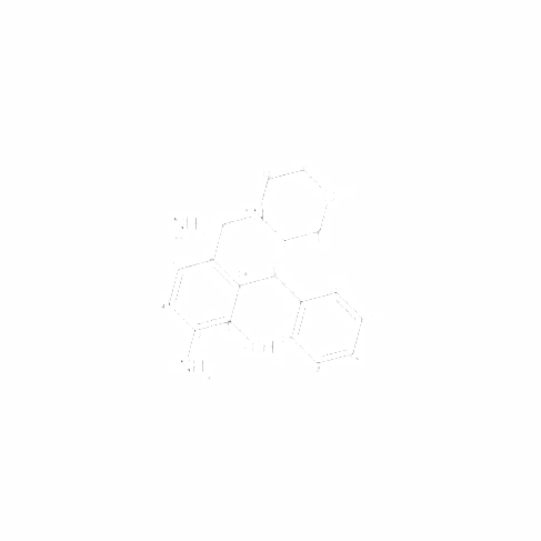 Cc1c(N)ccc(CN2CCOCC2)c1Cc1ccccc1.N